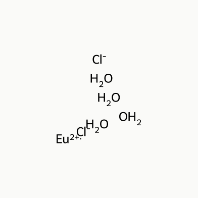 O.O.O.O.[Cl-].[Cl-].[Eu+2]